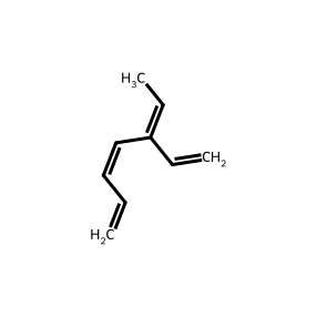 C=C/C=C\C(C=C)=C/C